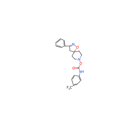 O=C(Nc1ccc(C(F)(F)F)cc1)ON1CCC2(CC1)CC(c1ccccc1)=NO2